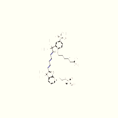 CC1(C)C(/C=C/C=C/C=C2\N(CCCCCC(=O)O)c3ccc(S(=O)(=O)O)cc3C2(C)C)=Nc2c1ccc[n+]2CCCS(=O)(=O)O